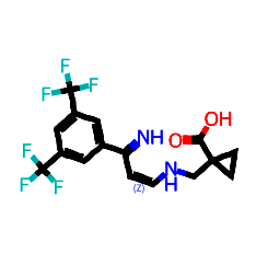 N=C(/C=C\NCC1(C(=O)O)CC1)c1cc(C(F)(F)F)cc(C(F)(F)F)c1